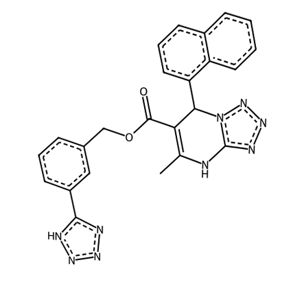 CC1=C(C(=O)OCc2cccc(-c3nnn[nH]3)c2)C(c2cccc3ccccc23)n2nnnc2N1